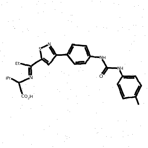 CCC(=NC(C(=O)O)C(C)C)c1cc(-c2ccc(NC(=O)Nc3ccc(C)cc3)cc2)ns1